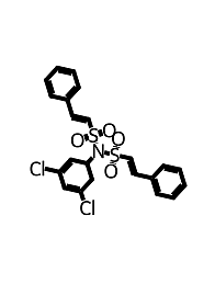 O=S(=O)(/C=C/c1ccccc1)N(C1C=C(Cl)C=C(Cl)C1)S(=O)(=O)/C=C/c1ccccc1